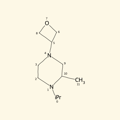 CC(C)N1CCN(C2COC2)CC1C